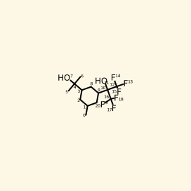 CC1CC(C(C)(C)O)CC(C(O)(C(F)(F)F)C(F)(F)F)C1